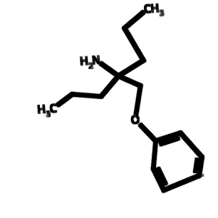 CCCC(N)(CCC)COc1cc[c]cc1